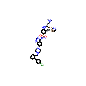 CN(C)CC[C@H](CSc1nccs1)Nc1ccc(S(=O)(=O)Nc2ncnc3cc(N4CCN(Cc5ccccc5-c5ccc(Cl)cc5)CC4)ccc23)cc1[N+](=O)[O-]